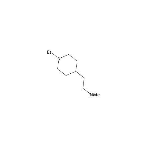 CCN1CCC(CCNC)CC1